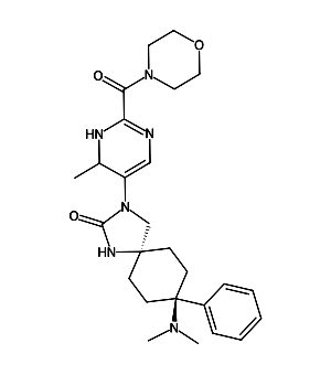 CC1NC(C(=O)N2CCOCC2)=NC=C1N1C[C@]2(CC[C@](c3ccccc3)(N(C)C)CC2)NC1=O